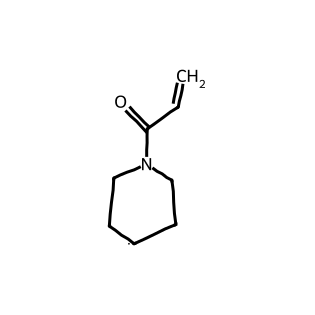 C=CC(=O)N1CC[CH]CC1